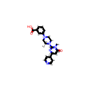 C[C@@H]1CN(c2cccc(C(=O)O)c2)CCN1c1nc(-c2ccncc2)cc(=O)n1C